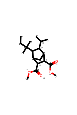 CCC(C)(C)C1C2CC(C(C(=O)OC)C2C(=O)OC)C1C(C)C